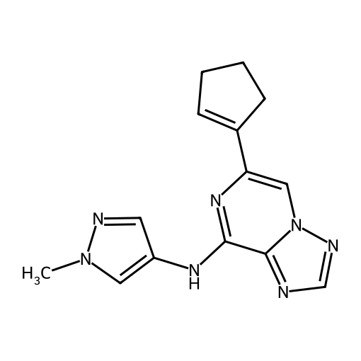 Cn1cc(Nc2nc(C3=CCCC3)cn3ncnc23)cn1